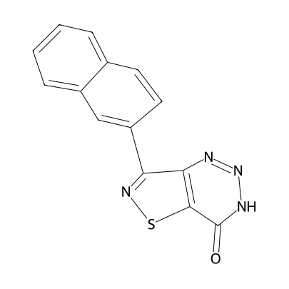 O=c1[nH]nnc2c(-c3ccc4ccccc4c3)nsc12